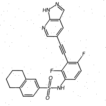 O=S(=O)(Nc1ccc(F)c(C#Cc2cnc3[nH]ncc3c2)c1F)c1ccc2c(c1)CCCC2